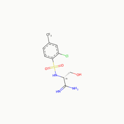 N=C(N)[C@@H](CO)NS(=O)(=O)c1ccc(C(F)(F)F)cc1Cl